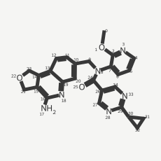 COc1ncccc1N(Cc1ccc2c3c(c(N)nc2c1)COC3)C(=O)c1cnc(C2CC2)nc1